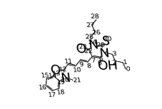 CCCCn1c(O)c(C=CC=CC2Oc3ccccc3N2C)c(=O)n(CCCC)c1=S